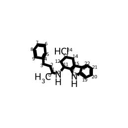 C[C@@H](CCc1ccccc1)NC1CCCc2c1[nH]c1ccccc21.Cl